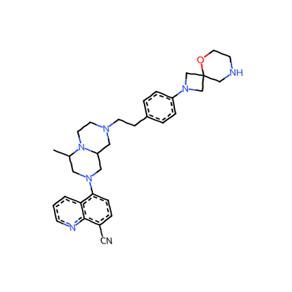 CC1CN(c2ccc(C#N)c3ncccc23)CC2CN(CCc3ccc(N4CC5(CNCCO5)C4)cc3)CCN12